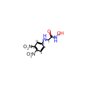 O=C(CNc1ccc([N+](=O)[O-])c([N+](=O)[O-])c1)NO